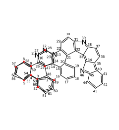 c1ccc(-c2ccccc2-c2nnnc(-c3ccccc3-c3c(-c4ccccc4)ccc4c3-c3c5c(ccc3=N4)=c3ccccc3=N5)c2-c2ccccc2-c2ccccc2)cc1